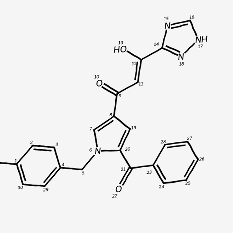 Cc1ccc(Cn2cc(C(=O)C=C(O)c3nc[nH]n3)cc2C(=O)c2ccccc2)cc1